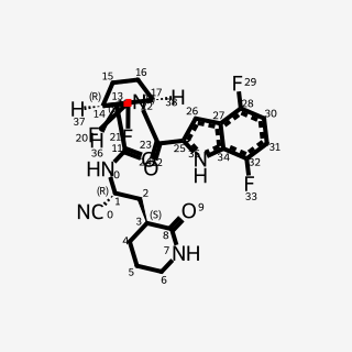 N#C[C@@H](C[C@@H]1CCCNC1=O)NC(=O)[C@@H]1[C@H]2CC[C@H](CC2(F)F)N1C(=O)c1cc2c(F)ccc(F)c2[nH]1